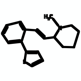 CN1CCCCC1C=Cc1ccccc1-c1cccs1